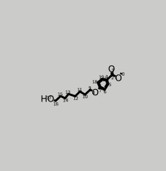 COC(=O)c1ccc(OCCCCCCCCO)cc1